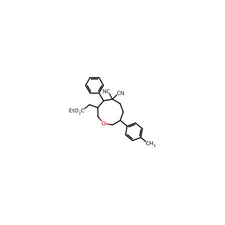 CCOC(=O)CC1COCC(c2ccc(C)cc2)CCC(C#N)(C#N)C1c1ccccc1